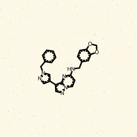 c1ccc(Cn2cc(-c3cnn4ccc(NCc5ccc6c(c5)OCO6)nc34)cn2)cc1